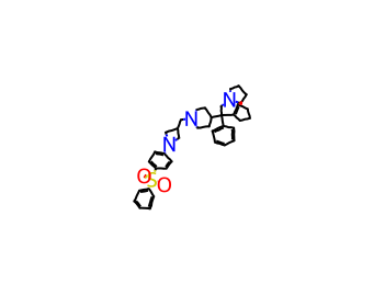 O=S(=O)(c1ccccc1)c1ccc(N2CC(CN3CCC(C(CN4CCCC4)(C4=CCCC4)c4ccccc4)CC3)C2)cc1